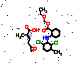 C/C(=C\CC1CO1)C(=O)O.CCOCOC(=O)c1ccccc1Nc1c(Cl)ccc(C)c1Cl